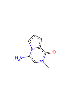 Cn1cc(N)n2cccc2c1=O